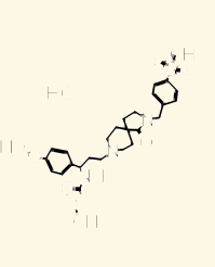 CCOC(=O)NC(CCN1CCC2(CC1)CCN(Cc1ccc(S(C)(=O)=O)cc1)C2=O)c1ccc(OC)cc1.Cl